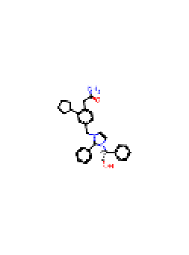 NC(=O)Cc1ccc(CN2C=CN([C@@H](CO)c3ccccc3)C2c2ccccc2)cc1C1CCCC1